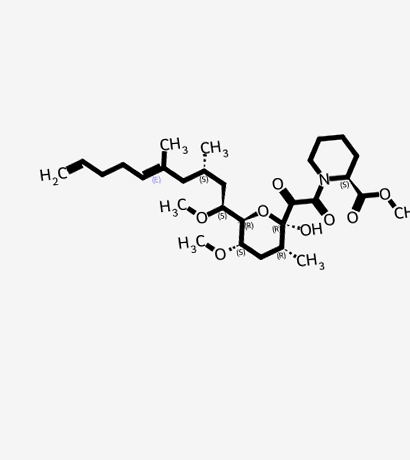 C=CCC/C=C(\C)C[C@H](C)C[C@H](OC)[C@H]1O[C@@](O)(C(=O)C(=O)N2CCCC[C@H]2C(=O)OC)[C@H](C)C[C@@H]1OC